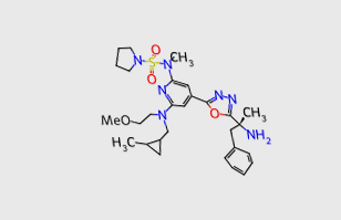 COCCN(CC1CC1C)c1cc(-c2nnc([C@](C)(N)Cc3ccccc3)o2)cc(N(C)S(=O)(=O)N2CCCC2)n1